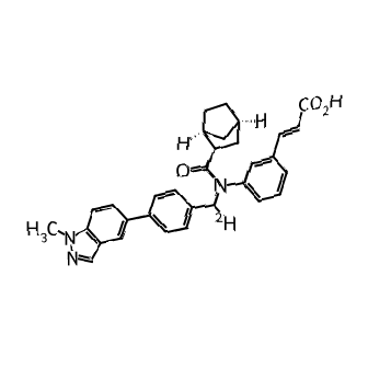 [2H]C(c1ccc(-c2ccc3c(cnn3C)c2)cc1)N(C(=O)[C@@H]1C[C@@H]2CC[C@H]1C2)c1cccc(/C=C/C(=O)O)c1